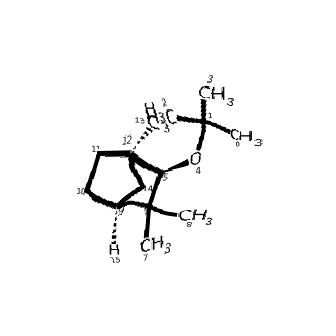 CC(C)(C)O[C@H]1C(C)(C)[C@H]2CC[C@]1(C)C2